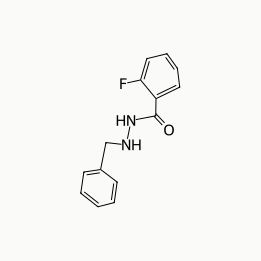 O=C(NNCc1ccccc1)c1ccccc1F